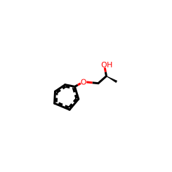 C[C@H](O)COc1ccccc1